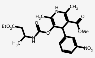 CCOC(=O)CC(C)NC(=O)OC1=C(C)NC(C)=C(C(=O)OC)C1c1cccc([N+](=O)[O-])c1